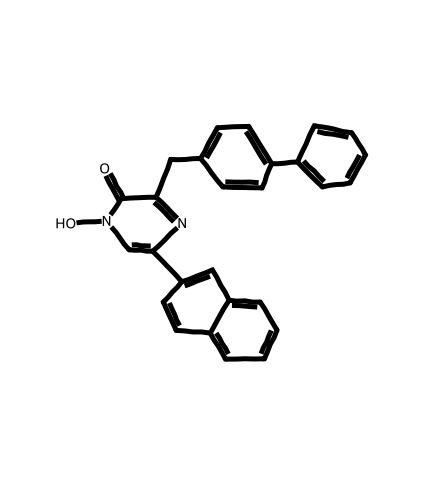 O=c1c(Cc2ccc(-c3ccccc3)cc2)nc(-c2ccc3ccccc3c2)cn1O